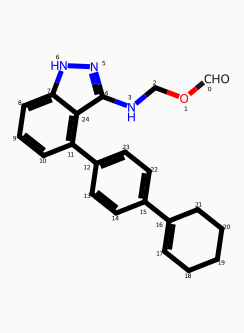 O=COCNc1n[nH]c2cccc(-c3ccc(C4=CCCCC4)cc3)c12